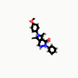 COc1ccc(-n2c(C)c3cnn(-c4ccccc4)c(=O)c3c2C)cc1